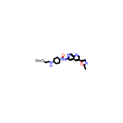 COCCN[C@H]1CC[C@H](C(=O)Nc2cc3cc(-c4cnc(C)o4)cnc3cn2)CC1